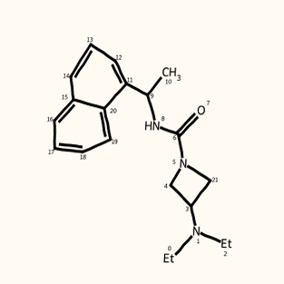 CCN(CC)C1CN(C(=O)NC(C)c2cccc3ccccc23)C1